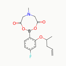 C=CCC(C)Oc1cc(F)ccc1B1OC(=O)CN(C)CC(=O)O1